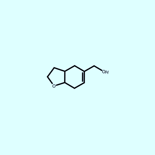 OCC1=CCC2OCCC2C1